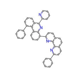 c1ccc(-c2ccc3ccc4ccc(-c5cccc6c5nc(-c5ccccn5)c5cccc(-c7ccccc7)c56)nc4c3n2)cc1